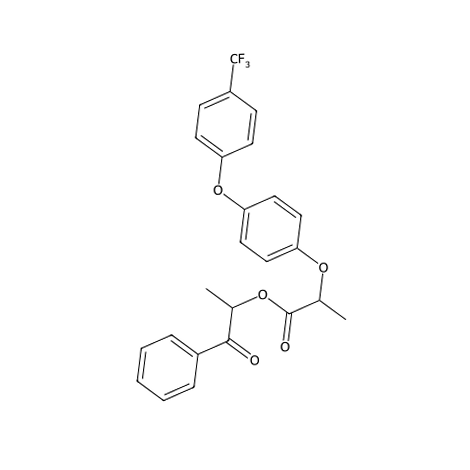 CC(Oc1ccc(Oc2ccc(C(F)(F)F)cc2)cc1)C(=O)OC(C)C(=O)c1ccccc1